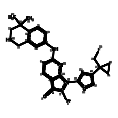 CC(C)n1c(=O)c2cnc(Nc3ccc4c(c3)CNCC4(C)C)nc2n1-c1nc(C2(CF)CC2)co1